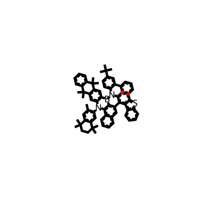 Cc1cc2c(cc1N1c3cc4c(cc3B3c5c(cc6ccccc6c51)-c1c(ccc5sc6ccccc6c15)N3c1ccc(C(C)(C)C)cc1-c1ccccc1)C(C)(C)c1ccccc1C4(C)C)C(C)(C)CCC2(C)C